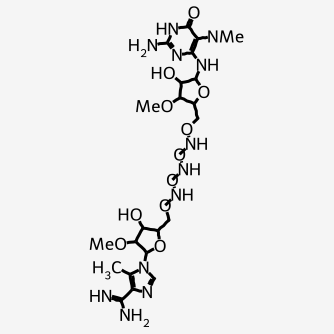 CNc1c(NC2OC(CONONONOCC3OC(n4cnc(C(=N)N)c4C)C(OC)C3O)C(OC)C2O)nc(N)[nH]c1=O